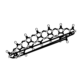 O=C1N2CN3C(=O)N4CN5C(=O)N6CN7C(=O)N8CN9C(=O)N%10CN%11C(=O)N%12CN%13C(=O)N%14CN1C1C2N2C(=O)N1N1C(=O)N(C%13C%141)N1C(=O)N(C%11C%121)N1C(=O)N(C9C%101)N1C(=O)N(C7C81)N1C(=O)N(C5C61)N1C(=O)N2C3C41